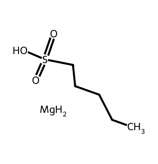 CCCCCS(=O)(=O)O.[MgH2]